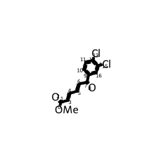 COC(=O)C=CC=CC(=O)c1ccc(Cl)c(Cl)c1